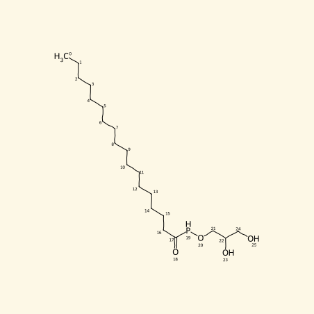 CCCCCCCCCCCCCCCCCC(=O)POCC(O)CO